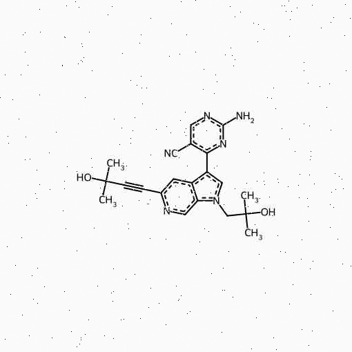 CC(C)(O)C#Cc1cc2c(-c3nc(N)ncc3C#N)cn(CC(C)(C)O)c2cn1